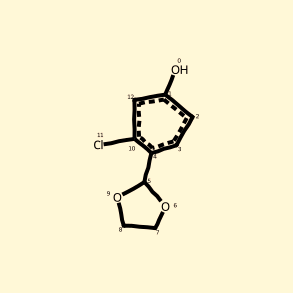 Oc1ccc(C2OCCO2)c(Cl)c1